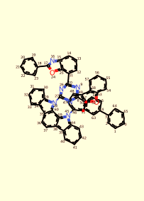 c1ccc(-c2ccc(-c3nc(-c4cccc5nc(-c6ccccc6)oc45)nc(-n4c5ccccc5c5ccc6c7ccccc7n(-c7ccc8c(c7)oc7ccccc78)c6c54)n3)cc2)cc1